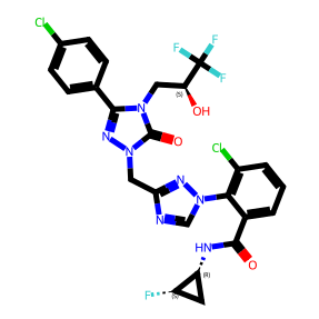 O=C(N[C@@H]1C[C@@H]1F)c1cccc(Cl)c1-n1cnc(Cn2nc(-c3ccc(Cl)cc3)n(C[C@H](O)C(F)(F)F)c2=O)n1